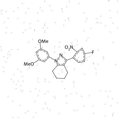 COc1cc(OC)cc(-n2nc(-c3ccc(F)cc3[N+](=O)[O-])c3c2CCCC3)c1